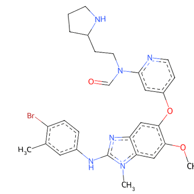 COc1cc2c(cc1Oc1ccnc(N(C=O)CCC3CCCN3)c1)nc(Nc1ccc(Br)c(C)c1)n2C